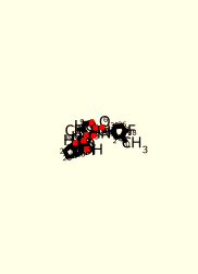 Cc1cc(NC(=O)c2ccc(Cl)c(S(=O)(=O)[C@]3(O)CC4CC[C@@H](C3)[C@@]4(O)CC(=O)NC[C@H](C)O)c2)ccc1F